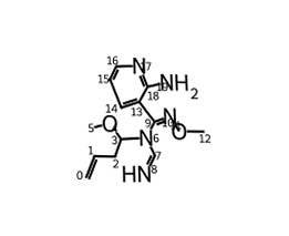 C=CCC(OC)N(C=N)C(=NOC)c1cccnc1N